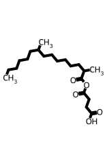 CCCCCCC(C)CCCCCCC(C)C(=O)OC(=O)CCC(=O)O